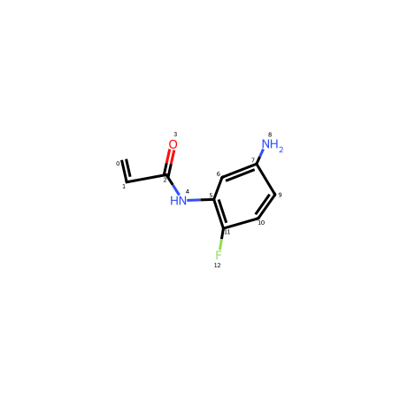 C=CC(=O)Nc1cc(N)ccc1F